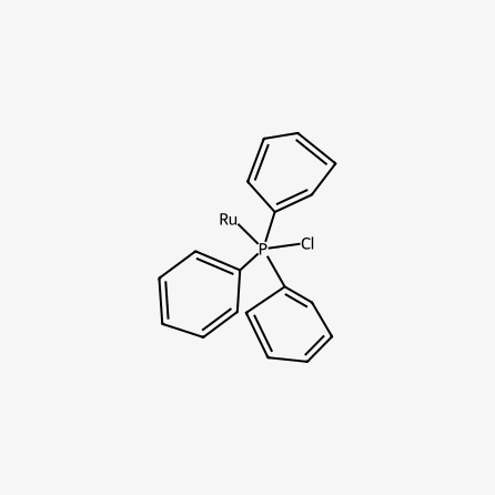 Cl[P]([Ru])(c1ccccc1)(c1ccccc1)c1ccccc1